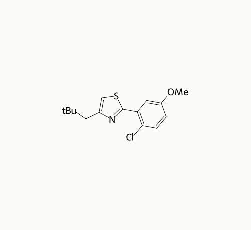 COc1ccc(Cl)c(-c2nc(CC(C)(C)C)cs2)c1